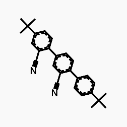 CC(C)(C)c1ccc(-c2ccc(-c3ccc(C(C)(C)C)cc3C#N)cc2C#N)cc1